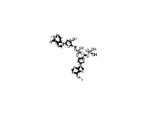 Nc1ncnc2c1ncn2[C@H]1C[C@H](OP(=O)(S)OC[C@H]2O[C@@H](n3cnc4c(=O)[nH]ncc43)C[C@@H]2O)[C@@H](COP(=O)(O)S)O1